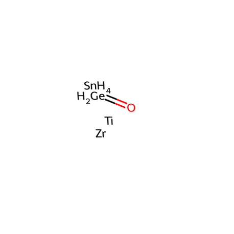 [O]=[GeH2].[SnH4].[Ti].[Zr]